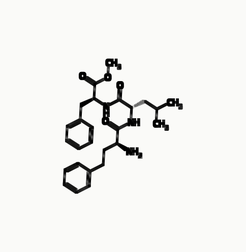 COC(=O)[C@H](Cc1ccccc1)NC(=O)[C@H](CC(C)C)NC(=O)[C@@H](N)CCc1ccccc1